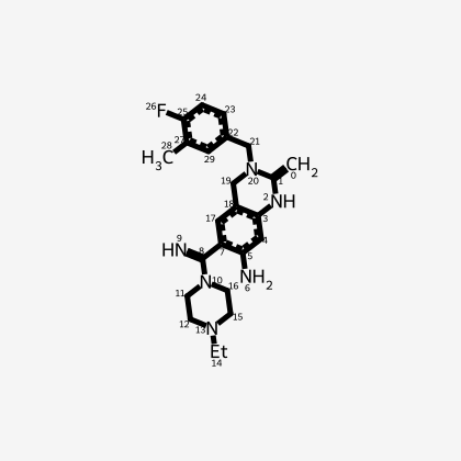 C=C1Nc2cc(N)c(C(=N)N3CCN(CC)CC3)cc2CN1Cc1ccc(F)c(C)c1